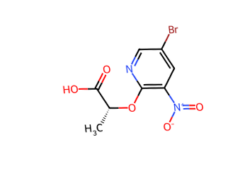 C[C@@H](Oc1ncc(Br)cc1[N+](=O)[O-])C(=O)O